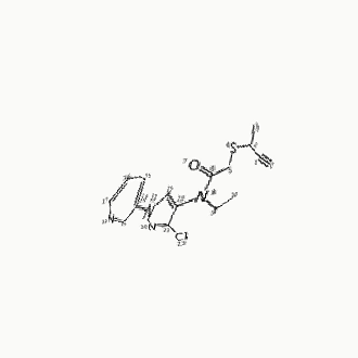 C#CC(C)SCC(=O)N(CC)c1cn(-c2cccnc2)nc1Cl